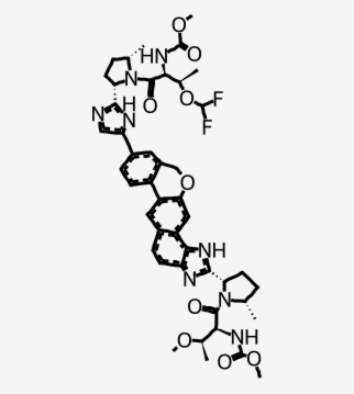 COC(=O)N[C@H](C(=O)N1[C@@H](C)CC[C@H]1c1nc2ccc3cc4c(cc3c2[nH]1)OCc1cc(-c2cnc([C@@H]3CC[C@H](C)N3C(=O)[C@@H](NC(=O)OC)[C@@H](C)OC(F)F)[nH]2)ccc1-4)[C@@H](C)OC